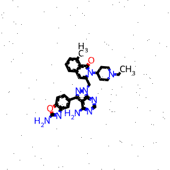 CCN1CCC(n2c(Cn3nc(-c4ccc5oc(N)nc5c4)c4c(N)ncnc43)cc3cccc(C)c3c2=O)CC1